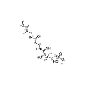 CO/N=C(\C)CNC(=O)CCNC(=N)C(O)C(C)(C)COP(=O)(O)OC